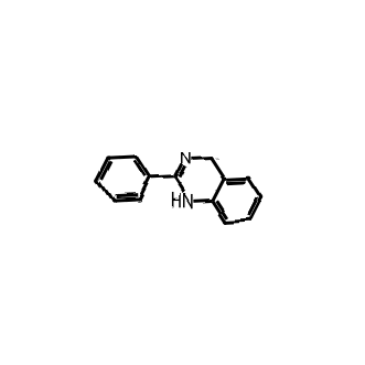 [CH]1N=C(c2ccccc2)Nc2ccccc21